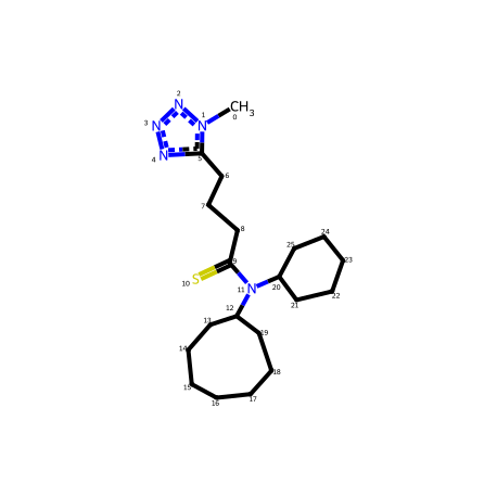 Cn1nnnc1CCCC(=S)N(C1CCCCCCC1)C1CCCCC1